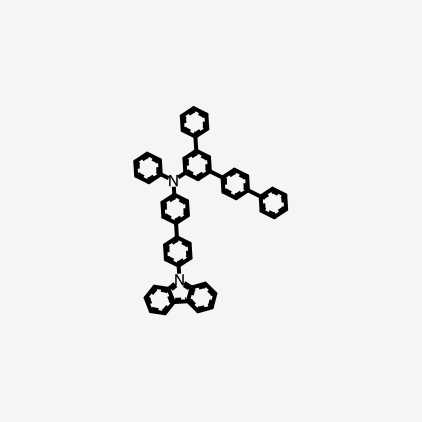 c1ccc(-c2ccc(-c3cc(-c4ccccc4)cc(N(c4ccccc4)c4ccc(-c5ccc(-n6c7ccccc7c7ccccc76)cc5)cc4)c3)cc2)cc1